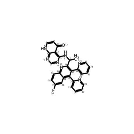 CC(Nc1ncnc2[nH]ccc(=O)c12)c1nc2ccc(F)cc2c(-c2ccccn2)c1-c1ccccn1